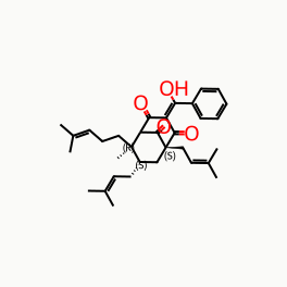 CC(C)=CCC[C@@]1(C)C2C(=O)C(=C(O)c3ccccc3)C(=O)[C@](CC=C(C)C)(C[C@@H]1CC=C(C)C)C2=O